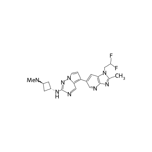 CN[C@H]1C[C@H](Nc2ncc3c(-c4cnc5nc(C)n(CC(F)F)c5c4)ccn3n2)C1